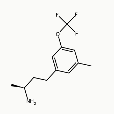 Cc1cc(CC[C@H](C)N)cc(OC(F)(F)F)c1